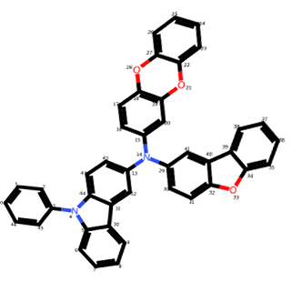 c1ccc(-n2c3ccccc3c3cc(N(c4ccc5c(c4)Oc4ccccc4O5)c4ccc5oc6ccccc6c5c4)ccc32)cc1